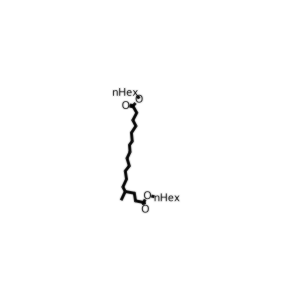 CCCCCCOC(=O)CCCCCCCCCCCCC(C)CCC(=O)OCCCCCC